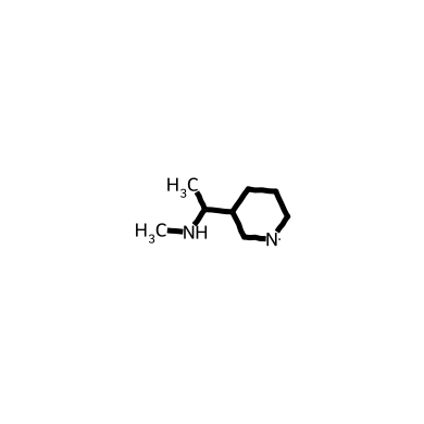 CNC(C)C1CCC[N]C1